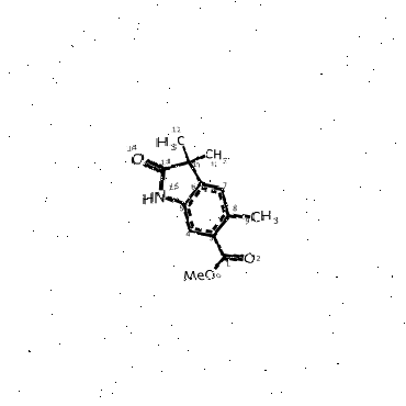 COC(=O)c1cc2c(cc1C)C(C)(C)C(=O)N2